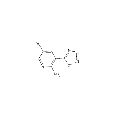 Nc1ncc(Br)cc1-c1ncno1